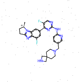 C[C@@H]1CCc2nc3c(F)cc(-c4nc(Nc5ccc(CN6CCC7(CC6)CNC7)cn5)ncc4F)cc3n21